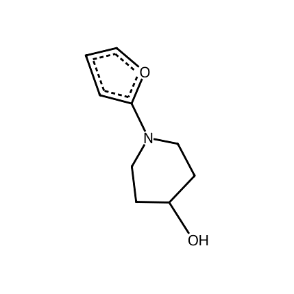 OC1CCN(c2ccco2)CC1